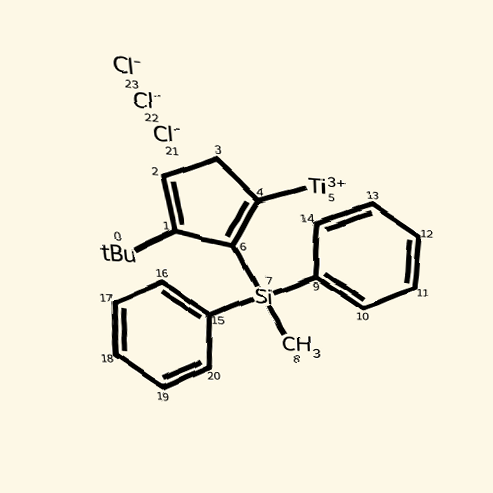 CC(C)(C)C1=CC[C]([Ti+3])=C1[Si](C)(c1ccccc1)c1ccccc1.[Cl-].[Cl-].[Cl-]